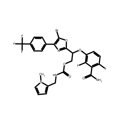 Cn1cccc1CNC(=O)OCC(Oc1ccc(F)c(C(N)=O)c1F)c1nc(-c2ccc(C(F)(F)F)cc2)c(Br)o1